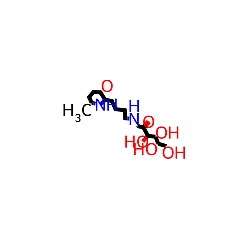 CC1CCC(=O)C(CCCCNCC(=O)C(O)C(O)C(O)CO)N1